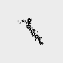 COCCCn1c(C2CCCN(C(=O)CC(N)Cc3ccc(-c4ccc(C(=O)NCCO)nc4)cc3)C2)nc2ccccc21